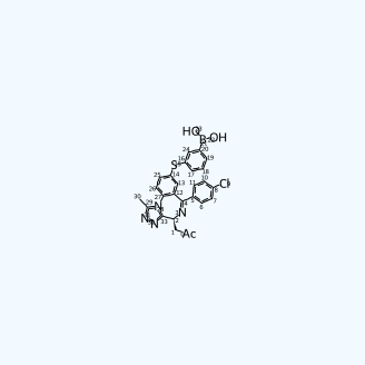 CC(=O)C[C@@H]1N=C(c2ccc(Cl)cc2)c2cc(Sc3cccc(B(O)O)c3)ccc2-n2c(C)nnc21